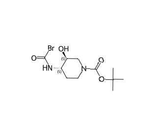 CC(C)(C)OC(=O)N1CC[C@H](NC(=O)Br)[C@@H](O)C1